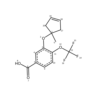 CC1(Oc2cc(C(=O)O)ccc2OC(F)(F)F)CC=CC1